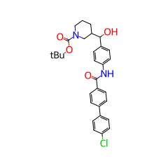 CC(C)(C)OC(=O)N1CCCC(C(O)c2ccc(NC(=O)c3ccc(-c4ccc(Cl)cc4)cc3)cc2)C1